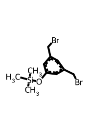 C[Si](C)(C)Oc1cc(CBr)cc(CBr)c1